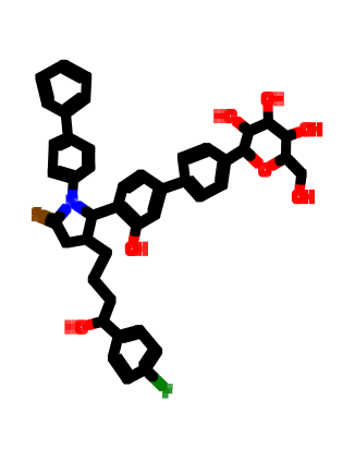 OCC1OC(c2ccc(-c3ccc(C4C(CCCC(O)c5ccc(F)cc5)CC(=S)N4c4ccc(-c5ccccc5)cc4)c(O)c3)cc2)C(O)C(O)C1O